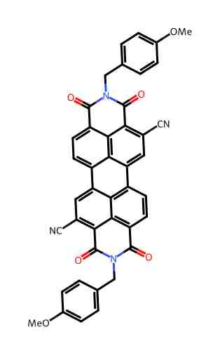 COc1ccc(CN2C(=O)c3ccc4c5cc(C#N)c6c7c(ccc(c8cc(C#N)c(c3c48)C2=O)c75)C(=O)N(Cc2ccc(OC)cc2)C6=O)cc1